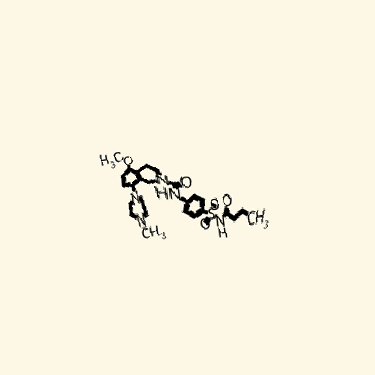 CCCC(=O)NS(=O)(=O)c1ccc(NC(=O)N2CCc3c(OC)ccc(N4CCN(C)CC4)c3C2)cc1